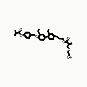 C=C(C)C(=O)Oc1ccc(CCc2ccc(-c3ccc(CCCOC(=O)C(=C)COCCO)cc3CC)cc2CC)cc1